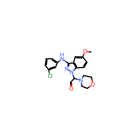 COc1ccc2c(c1)c(Nc1cccc(Cl)c1)nn2C(C=O)N1CCOCC1